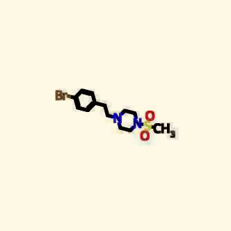 CS(=O)(=O)N1CCN(CCc2ccc(Br)cc2)CC1